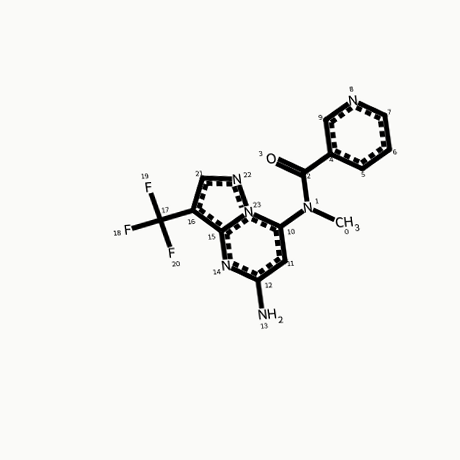 CN(C(=O)c1cccnc1)c1cc(N)nc2c(C(F)(F)F)cnn12